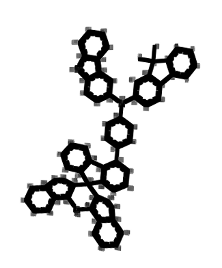 CC1(C)c2ccccc2-c2ccc(N(c3ccc(-c4cccc5c4-c4ccccc4C54c5ccc6ccccc6c5Oc5c4ccc4ccccc54)cc3)c3ccc4sc5ccccc5c4c3)cc21